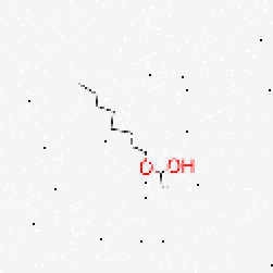 [CH2]C(O)OCCCCCCCC